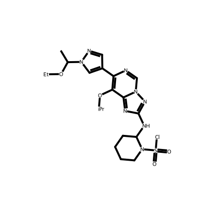 CCOC(C)n1cc(-c2ncn3nc(NC4CCCCN4S(=O)(=O)Cl)nc3c2OC(C)C)cn1